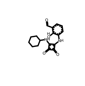 O=Cc1cccc(Nc2c(NC3CCCCC3)c(=O)c2=O)c1O